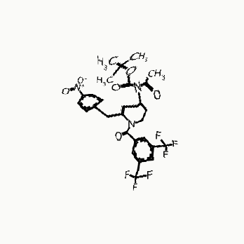 CC(=O)N(C(=O)OC(C)(C)C)C1CCN(C(=O)c2cc(C(F)(F)F)cc(C(F)(F)F)c2)C(Cc2ccc([N+](=O)[O-])cc2)C1